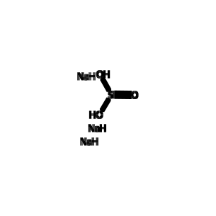 O=[Si](O)O.[NaH].[NaH].[NaH]